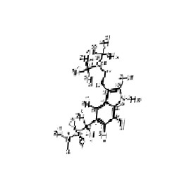 [2H]c1c(C([2H])([2H])S(=O)(=O)N([2H])C)c([2H])c2c(CCN(C([2H])([2H])[2H])C([2H])([2H])[2H])c([2H])n([2H])c2c1[2H]